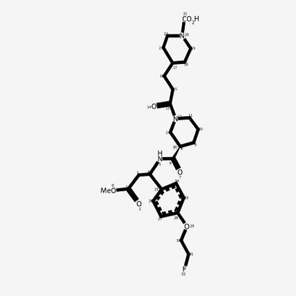 COC(=O)CC(NC(=O)[C@@H]1CCCN(C(=O)CCC2CCN(C(=O)O)CC2)C1)c1ccc(OCCF)cc1